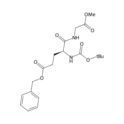 COC(=O)CNC(=O)[C@H](CCC(=O)OCc1ccccc1)NC(=O)OC(C)(C)C